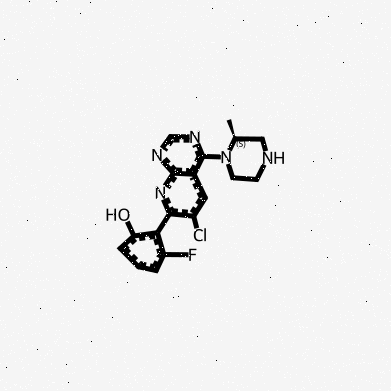 C[C@H]1CNCCN1c1ncnc2nc(-c3c(O)cccc3F)c(Cl)cc12